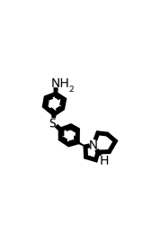 Nc1ccc(Sc2ccc([C@@H]3CC[C@H]4CCCCN43)cc2)cc1